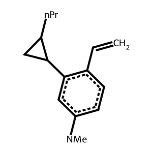 C=Cc1ccc(NC)cc1C1CC1CCC